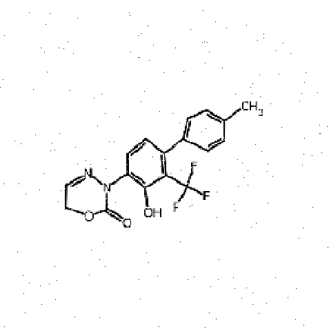 Cc1ccc(-c2ccc(N3N=CCOC3=O)c(O)c2C(F)(F)F)cc1